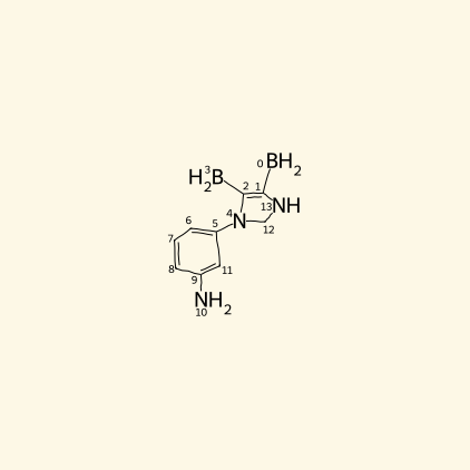 BC1=C(B)N(c2cccc(N)c2)CN1